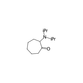 CC(C)N(C(C)C)C1CCCCCC1=O